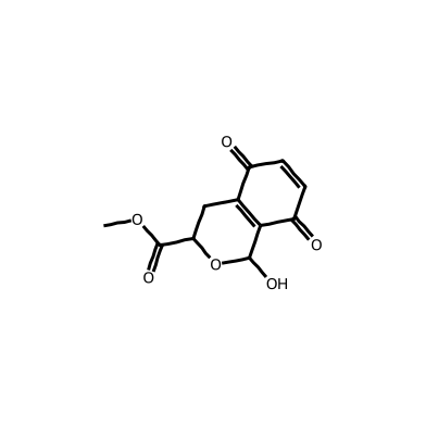 COC(=O)C1CC2=C(C(=O)C=CC2=O)C(O)O1